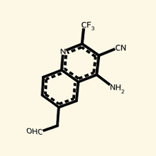 N#Cc1c(C(F)(F)F)nc2ccc(CC=O)cc2c1N